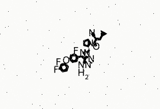 N#CC(=CC1CC1)C(=O)N1CCC[C@H]1Cn1nc(-c2ccc(Oc3cccc(F)c3F)cc2F)c2c(N)ncnc21